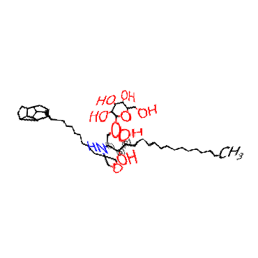 CCCCCCCCCCCCCC[C@@H](O)[C@@H](O)[C@H](COC1OC(CO)C(O)C(O)C1O)NC1(CCCCCCCCCCC2C3CC=CC4C5CCC3C5C42)COC1